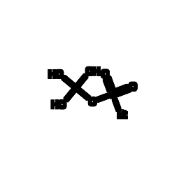 CCS(=O)(=O)OC(O)(O)O